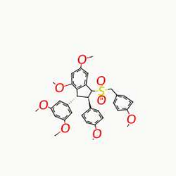 COc1ccc(CS(=O)(=O)C2c3cc(OC)cc(OC)c3[C@@H](c3cc(OC)cc(OC)c3)[C@@H]2c2ccc(OC)cc2)cc1